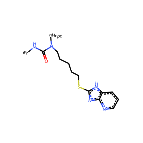 CCCCCCCN(CCCCCSc1nc2ncccc2[nH]1)C(=O)NC(C)C